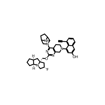 C#Cc1cccc2cc(O)cc(N3CCc4c(nc(OC[C@]56C[C@H](F)CN5[C@H]5CCC[C@H]5C6)nc4N4CC5CCC(C4)N5)C3)c12